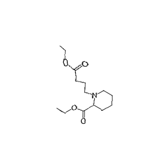 CCOC(=O)CCCN1CCCCC1C(=O)OCC